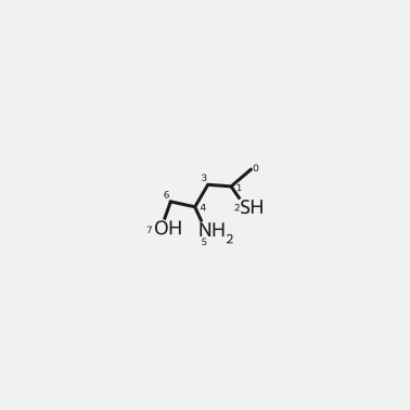 CC(S)CC(N)CO